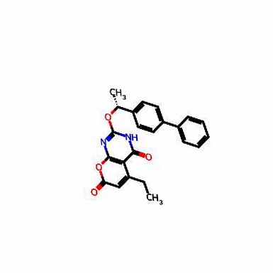 CCc1cc(=O)oc2nc(O[C@H](C)c3ccc(-c4ccccc4)cc3)[nH]c(=O)c12